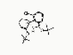 CC(C)(C)OC(=O)N[C@@]1(c2ccccc2Cl)CCCC=C1O[Si](C)(C)C